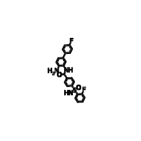 N=S(=O)(c1ccc(C(=O)Nc2cc(-c3ccc(F)cc3)ccc2N)cc1)c1ccccc1F